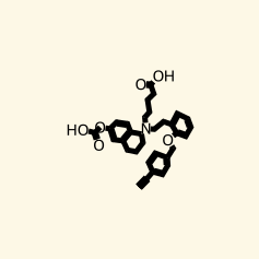 C#Cc1ccc(COc2ccccc2CCN(CCCCC(=O)O)C2CCCc3cc(OC(=O)O)ccc32)cc1